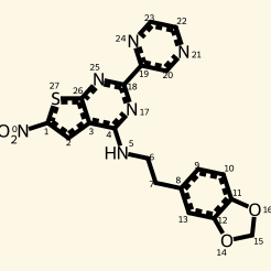 O=[N+]([O-])c1cc2c(NCCc3ccc4c(c3)OCO4)nc(-c3cnccn3)nc2s1